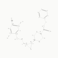 O=C(OCc1ccccc1)N1CCC([C@H]2C[C@H]2CCOc2cc(F)c(Br)cc2F)CC1